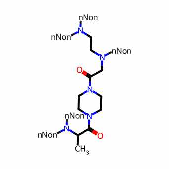 CCCCCCCCCN(CCCCCCCCC)CCN(CCCCCCCCC)CC(=O)N1CCN(C(=O)C(C)N(CCCCCCCCC)CCCCCCCCC)CC1